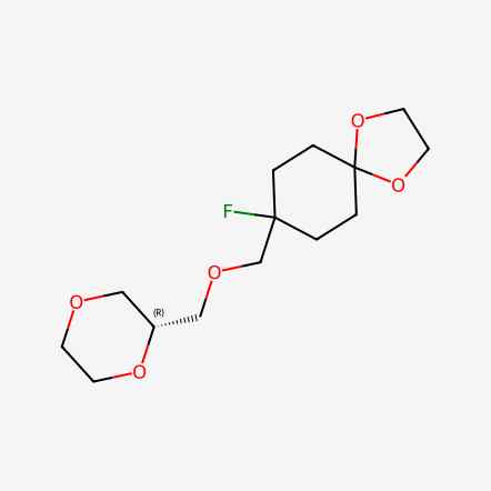 FC1(COC[C@H]2COCCO2)CCC2(CC1)OCCO2